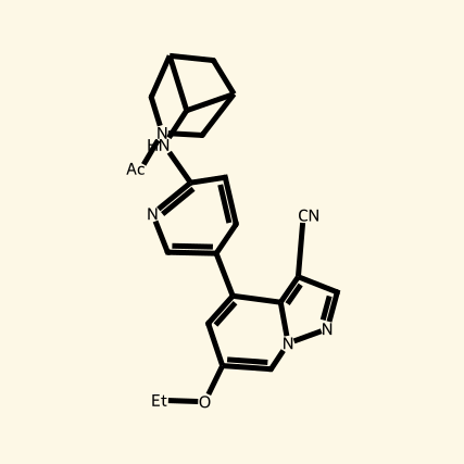 CCOc1cc(-c2ccc(NC3C4CC3CN(C(C)=O)C4)nc2)c2c(C#N)cnn2c1